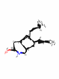 C=CCc1cc2c(cc1CC=C)CC(O)N=C2